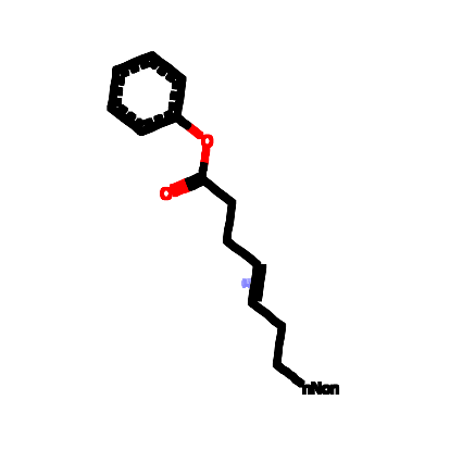 CCCCCCCCCCC/C=C/CCC(=O)Oc1ccccc1